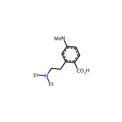 CCN(CC)CCc1cc(NC)ccc1C(=O)O